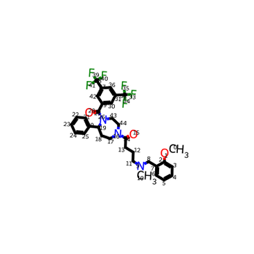 COc1ccccc1CN(C)CCCC(=O)N1CCC(c2ccccc2)N(C(=O)c2cc(C(F)(F)F)cc(C(F)(F)F)c2)CC1